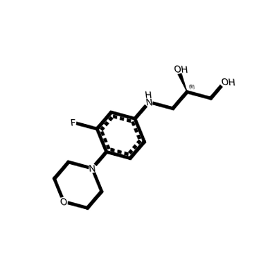 OC[C@H](O)CNc1ccc(N2CCOCC2)c(F)c1